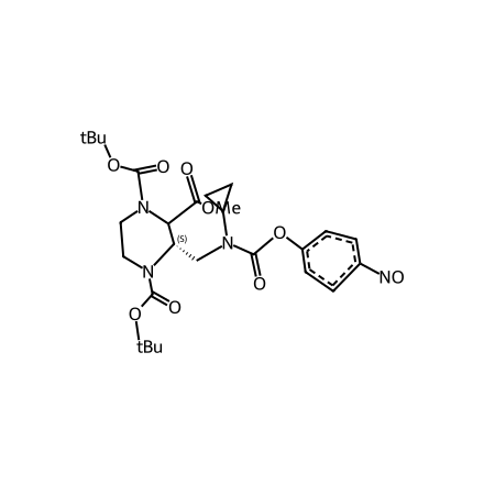 COC(=O)C1[C@H](CN(C(=O)Oc2ccc(N=O)cc2)C2CC2)N(C(=O)OC(C)(C)C)CCN1C(=O)OC(C)(C)C